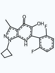 Cc1nn(C2CCC2)c2[nH]c(-c3c(F)cccc3F)c(O)c(=O)c12